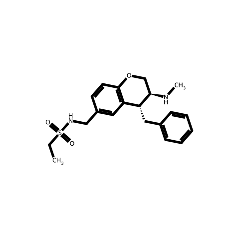 CCS(=O)(=O)NCc1ccc2c(c1)[C@@H](Cc1ccccc1)[C@H](NC)CO2